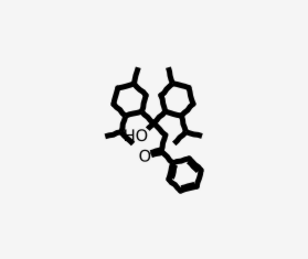 CC1CCC(C(C)C)C(C(O)(CC(=O)c2ccccc2)C2CC(C)CCC2C(C)C)C1